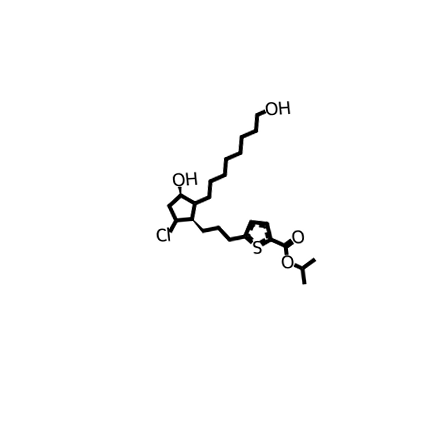 CC(C)OC(=O)c1ccc(CCC[C@H]2C(Cl)C[C@@H](O)C2CCCCCCCCO)s1